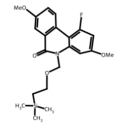 COc1ccc2c(c1)c(=O)n(COCC[Si](C)(C)C)c1cc(OC)cc(F)c21